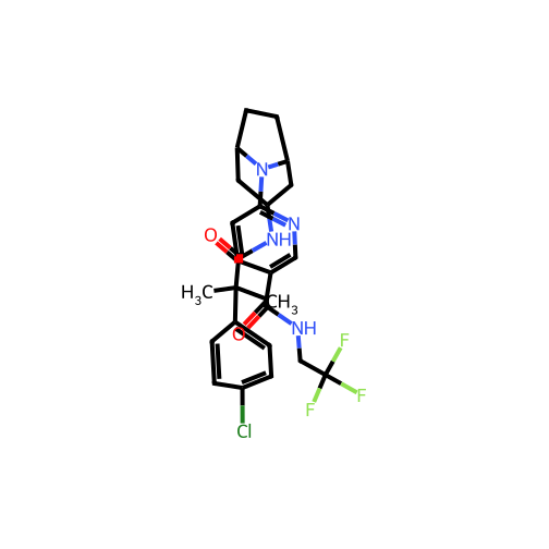 CC(C)(C(=O)NC1CC2CCC(C1)N2c1ccc(C(=O)NCC(F)(F)F)cn1)c1ccc(Cl)cc1